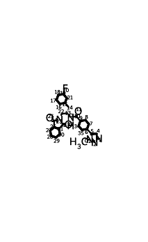 Cn1nncc1-c1ccc(C(=O)N[C@@H](Cc2cccc(F)c2)CN2C(=O)c3ccccc3C2=O)cc1